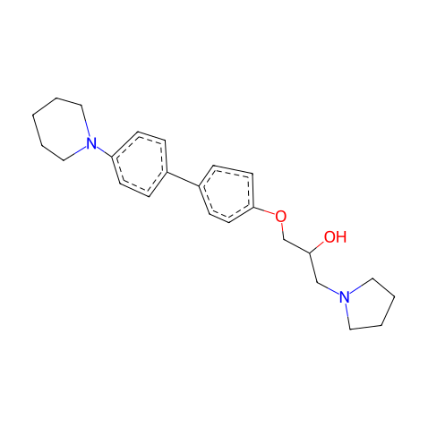 OC(COc1ccc(-c2ccc(N3CCCCC3)cc2)cc1)CN1CCCC1